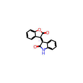 O=C1Nc2ccccc2/C1=C1\C(=O)Oc2ccccc21